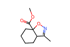 COC(=O)C12CCCCC1C(C)=NO2